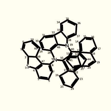 C1=CC2Sc3cccc(N(c4cc5c6ccccc6ccc5c5ccccc45)c4cccc5c6ccccc6n(-c6ccccc6)c45)c3C2C=C1